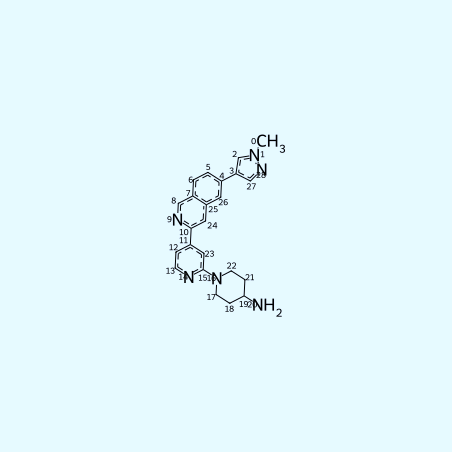 Cn1cc(-c2ccc3cnc(-c4ccnc(N5CCC(N)CC5)c4)cc3c2)cn1